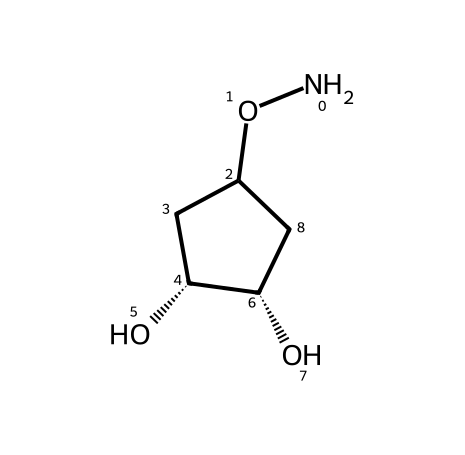 NOC1C[C@@H](O)[C@@H](O)C1